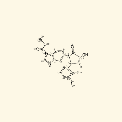 CC1=C(O)C(=O)N(c2ccc3c(c2)ncn3C(=O)OC(C)(C)C)C1c1cccc(F)c1F